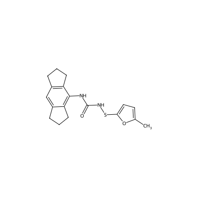 Cc1ccc(SNC(=O)Nc2c3c(cc4c2CCC4)CCC3)o1